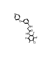 Cc1c(F)c(NC(=O)CNc2cccc(Oc3ccncc3)c2)c(F)c(F)c1Cl